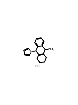 Cl.NC1C2=C(CCCC2)N(n2cccc2)c2ccccc21